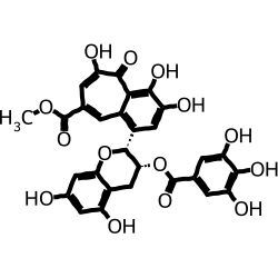 COC(=O)c1cc(O)c(=O)c2c(O)c(O)cc([C@H]3Oc4cc(O)cc(O)c4C[C@H]3OC(=O)c3cc(O)c(O)c(O)c3)c2c1